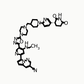 CCNc1cc(-c2ccc3cc(C#N)cnn23)ncc1-c1nnc(N2CCN(CC3CCN(c4ccc([C@H]5CCC(=O)NC5=O)cn4)CC3)CC2)o1